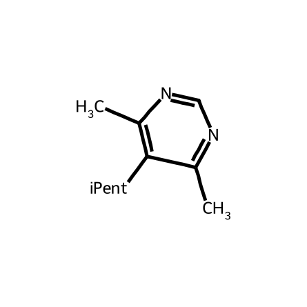 CCCC(C)c1c(C)ncnc1C